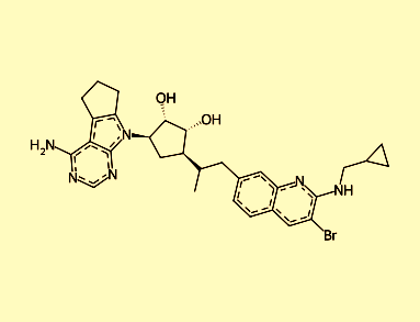 CC(Cc1ccc2cc(Br)c(NCC3CC3)nc2c1)[C@H]1C[C@@H](n2c3c(c4c(N)ncnc42)CCC3)[C@H](O)[C@@H]1O